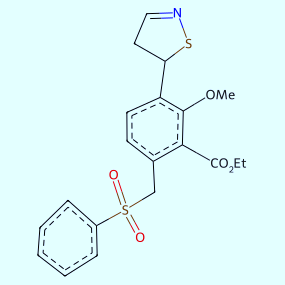 CCOC(=O)c1c(CS(=O)(=O)c2ccccc2)ccc(C2CC=NS2)c1OC